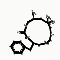 C[C@H]1CCC(=O)NC(Cc2ccccc2)CNCCC[C@@](C)(O)C1